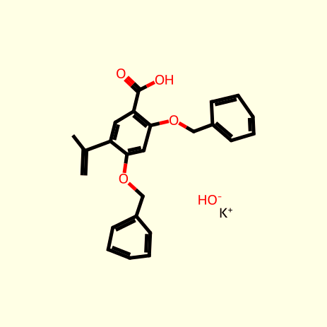 C=C(C)c1cc(C(=O)O)c(OCc2ccccc2)cc1OCc1ccccc1.[K+].[OH-]